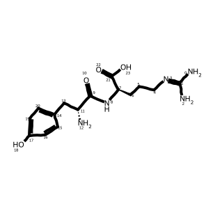 NC(N)=NCCC[C@@H](NC(=O)[C@H](N)Cc1ccc(O)cc1)C(=O)O